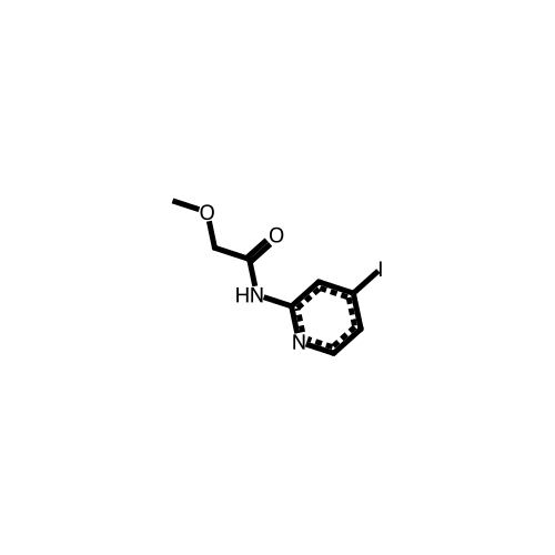 COCC(=O)Nc1cc(I)ccn1